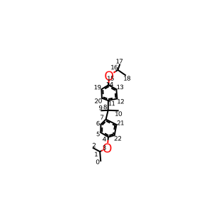 CC(C)Oc1ccc(C(C)(C)c2ccc(OC(C)C)cc2)cc1